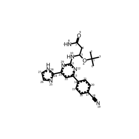 CC(C)(C)OC(CC([NH])=O)Nc1nc(-c2ccc(C#N)cc2)cc(-c2ncc[nH]2)n1